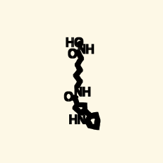 O=C(CCCCCCNC(=O)C1Cc2[nH]c3ccccc3c2C1)NO